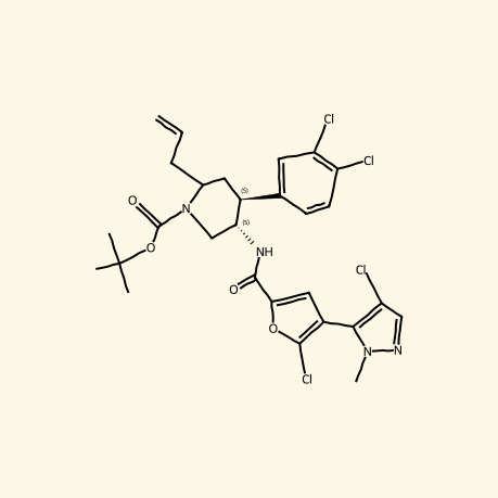 C=CCC1C[C@@H](c2ccc(Cl)c(Cl)c2)[C@H](NC(=O)c2cc(-c3c(Cl)cnn3C)c(Cl)o2)CN1C(=O)OC(C)(C)C